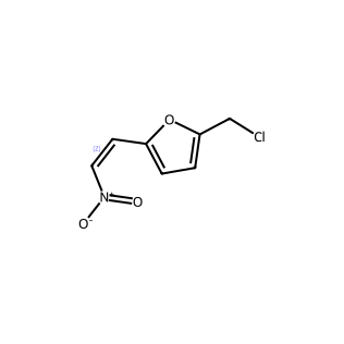 O=[N+]([O-])/C=C\c1ccc(CCl)o1